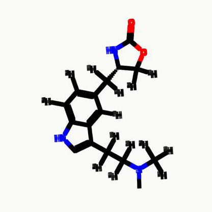 [2H]c1c(C([2H])([2H])[C@@H]2NC(=O)OC2([2H])[2H])c([2H])c2c(C([2H])([2H])C([2H])([2H])N(C)C([2H])([2H])[2H])c[nH]c2c1[2H]